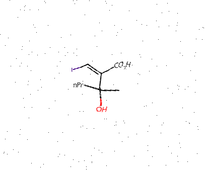 CCCC(C)(O)/C(=C\I)C(=O)O